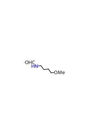 [CH2]OCCCCN[C]=O